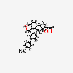 C#C[C@]1(O)C=CC2C3CCC4=COCCC4C3[C@@H](c3ccc(-c4ccc(C#N)cc4)cc3)C[C@@]21C